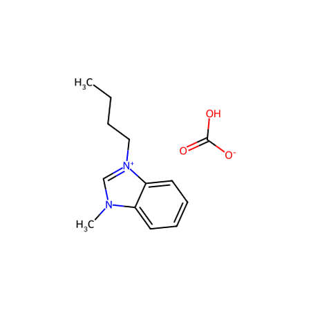 CCCC[n+]1cn(C)c2ccccc21.O=C([O-])O